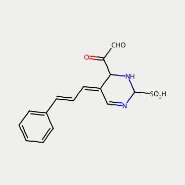 O=CC(=O)C1NC(S(=O)(=O)O)N=CC1=CC=Cc1ccccc1